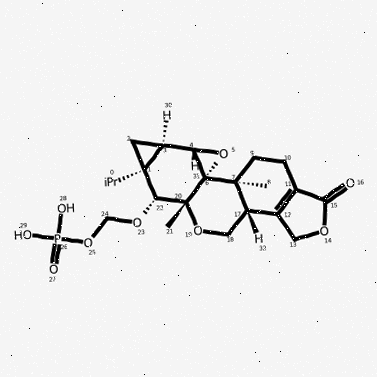 CC(C)[C@]12C[C@H]1[C@@H]1O[C@@]13[C@@]1(C)CCC4=C(COC4=O)[C@@H]1CO[C@]3(C)[C@@H]2OCOP(=O)(O)O